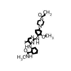 C=CC(=O)N1CCN(c2ccc(Nc3ncc(I)c(Nc4ccccc4C(=O)NC)n3)c(OC)c2)CC1